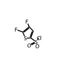 O=S(=O)(Cl)c1cc(F)c(F)s1